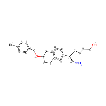 CCc1ccc(CO[C@@H]2CCc3cc([C@H](CN)CCCCO)ccc3C2)cc1